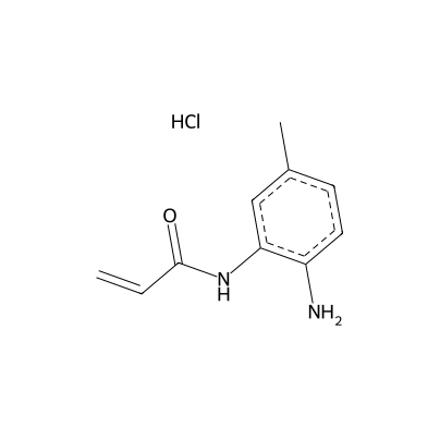 C=CC(=O)Nc1cc(C)ccc1N.Cl